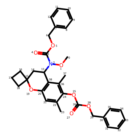 CON(C(=O)OCc1ccccc1)C1CC2(CCC2)Oc2cc(C)c(OC(=O)OCc3ccccc3)c(C)c21